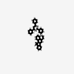 CC1(C)c2ccccc2-c2cc3c4c(cccc4c21)N(c1cccc(-c2nc(-c4ccccc4)cc(-c4ccccc4)n2)c1)C=C3